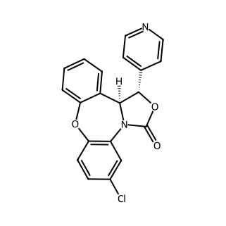 O=C1O[C@@H](c2ccncc2)[C@@H]2c3ccccc3Oc3ccc(Cl)cc3N12